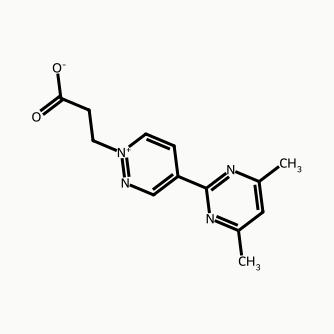 Cc1cc(C)nc(-c2cc[n+](CCC(=O)[O-])nc2)n1